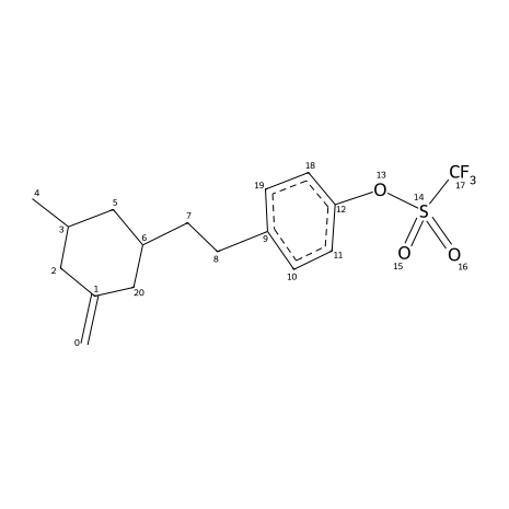 C=C1CC(C)CC(CCc2ccc(OS(=O)(=O)C(F)(F)F)cc2)C1